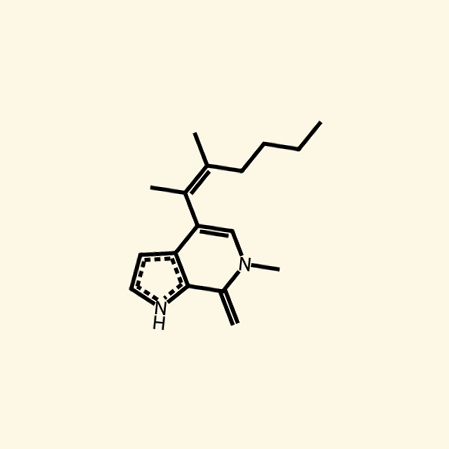 C=C1c2[nH]ccc2C(/C(C)=C(/C)CCCC)=CN1C